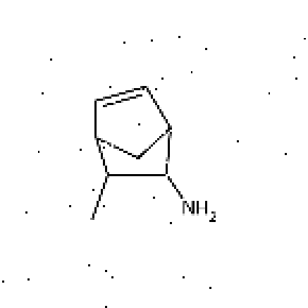 CC1C2C=CC(C2)C1N